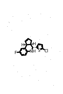 Fc1ccc2c(c1)[C@@H]1C=CC[C@@H]1[C@H](c1ccc(Cl)s1)N2